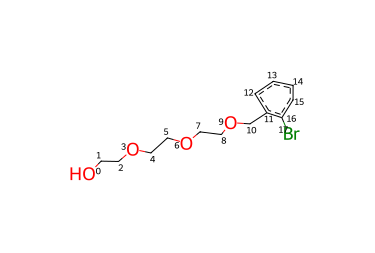 OCCOCCOCCOCc1ccccc1Br